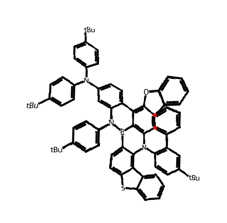 CC(C)(C)c1ccc(N2B3c4ccc5sc6ccccc6c5c4N(c4ccc(C(C)(C)C)cc4-c4ccccc4)c4cc5c(oc6ccccc65)c(c43)-c3ccc(N(c4ccc(C(C)(C)C)cc4)c4ccc(C(C)(C)C)cc4)cc32)cc1